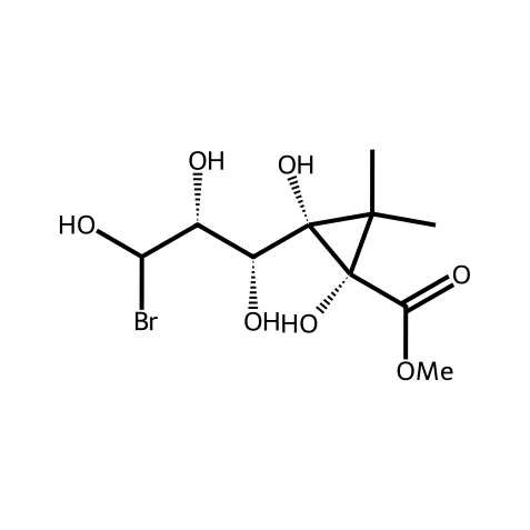 COC(=O)[C@]1(O)C(C)(C)[C@]1(O)[C@H](O)[C@@H](O)C(O)Br